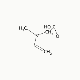 C=C[S+](C)C.O=C([O-])O